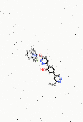 COc1cc(-c2ccc(-c3ccc(O[C@H]4C[C@@H]5CCC[C@@H](N5)[C@H]4F)nn3)c(O)c2)cnn1